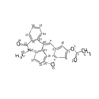 CC(=O)Oc1cccc(C=C2c3ccccc3C(=O)N(C)c3ccc(Cl)cc32)c1